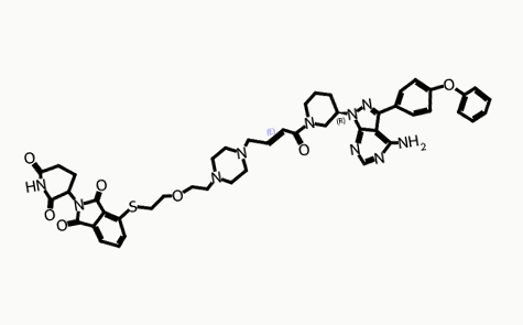 Nc1ncnc2c1c(-c1ccc(Oc3ccccc3)cc1)nn2[C@@H]1CCCN(C(=O)/C=C/CN2CCN(CCOCCSc3cccc4c3C(=O)N(C3CCC(=O)NC3=O)C4=O)CC2)C1